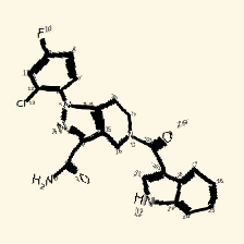 NC(=O)c1nn(-c2ccc(F)cc2Cl)c2c1CN(C(=O)c1c[nH]c3ccccc13)CC2